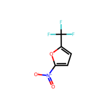 O=[N+]([O-])c1ccc(C(F)(F)F)o1